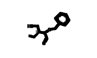 CC[C@@H](CO)N(C=O)OCc1ccccc1